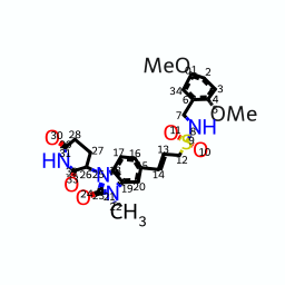 COc1ccc(OC)c(CNS(=O)(=O)C/C=C/c2ccc3c(c2)n(C)c(=O)n3C2CCC(=O)NC2=O)c1